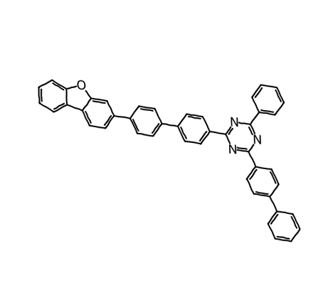 c1ccc(-c2ccc(-c3nc(-c4ccccc4)nc(-c4ccc(-c5ccc(-c6ccc7c(c6)oc6ccccc67)cc5)cc4)n3)cc2)cc1